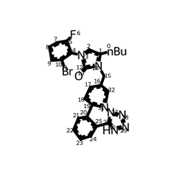 CCCCc1cn(-c2c(F)cccc2Br)c(=O)n1Cc1ccc(-c2ccccc2-c2nnn[nH]2)nc1